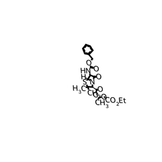 CCOC(=O)OC(C)OC(=O)[C@@H]1N2C(=O)C(NC(=O)OCc3ccccc3)[C@H]2SC1(C)C